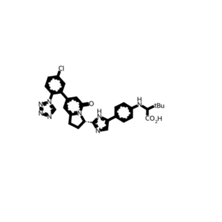 CC(C)(C)C(Nc1ccc(-c2cnc([C@@H]3CCc4cc(-c5cc(Cl)ccc5-n5cnnn5)cc(=O)n43)[nH]2)cc1)C(=O)O